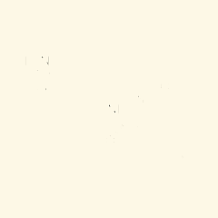 CC(=O)SCC(Cc1ccccc1)C(=O)NCCCCC(N)=O